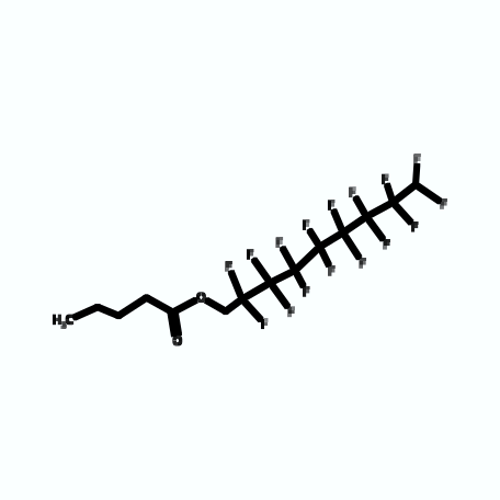 CCCCC(=O)OCC(F)(F)C(F)(F)C(F)(F)C(F)(F)C(F)(F)C(F)(F)C(F)(F)C(F)F